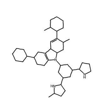 CC1CCC(C2CC(C3CCCN3)CC(N3C4=C(CC(C5CCCCC5)CC4)C4C=C(C5CCCCC5C)C(C)CC43)C2)N1